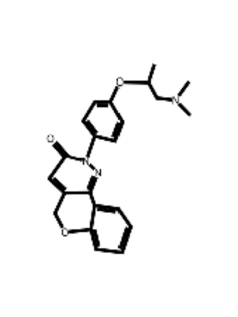 CC(CN(C)C)Oc1ccc(-n2nc3c(cc2=O)COc2ccccc2-3)cc1